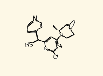 C[C@H]1COCCN1c1cc(C(S)c2ccncc2)nc(Cl)n1